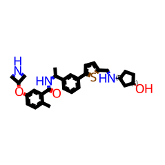 Cc1ccc(OC2CNC2)cc1C(=O)NC(C)c1cccc(-c2ccc(CN[C@@H]3CC[C@H](O)C3)s2)c1